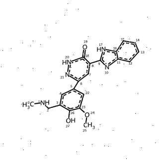 CNCc1cc(-c2cc(-c3nc4ccccc4[nH]3)c(=O)[nH]n2)cc(OC)c1O